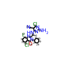 C[C@H](Nc1nc(N)nc(Cl)c1C#N)c1nc2c(F)ccc(Cl)c2c(=O)n1-c1ccccc1